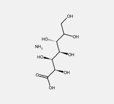 N.O=C(O)[C@H](O)[C@@H](O)[C@H](O)[C@H](O)C(O)CO